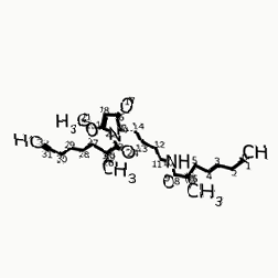 C#CCCCC[C@@H](C)C(=O)NCCCC[C@H]1C(=O)C=C(OC)N1C(=O)[C@H](C)CCCCC#C